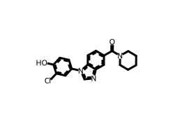 O=C(c1ccc2c(c1)ncn2-c1ccc(O)c(Cl)c1)N1CCCCC1